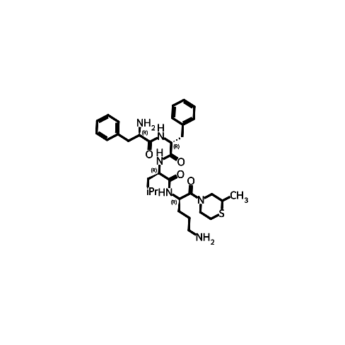 CC(C)C[C@@H](NC(=O)[C@@H](Cc1ccccc1)NC(=O)[C@H](N)Cc1ccccc1)C(=O)N[C@H](CCCN)C(=O)N1CCSC(C)C1